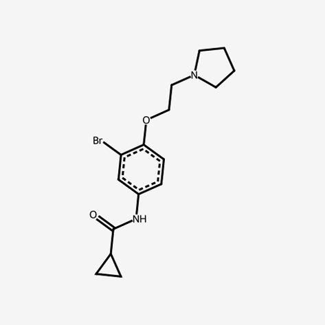 O=C(Nc1ccc(OCCN2CCCC2)c(Br)c1)C1CC1